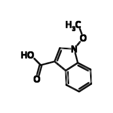 COn1cc(C(=O)O)c2ccccc21